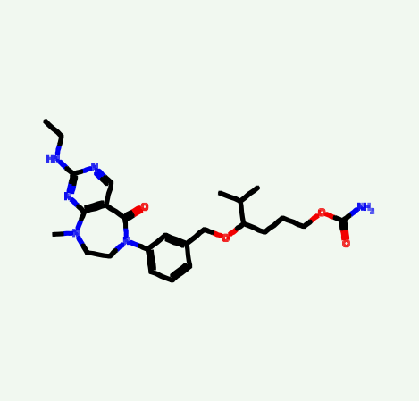 CCNc1ncc2c(n1)N(C)CCN(c1cccc(COC(CCCOC(N)=O)C(C)C)c1)C2=O